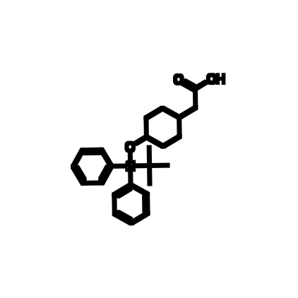 CC(C)(C)[Si](OC1CCC(CC(=O)O)CC1)(c1ccccc1)c1ccccc1